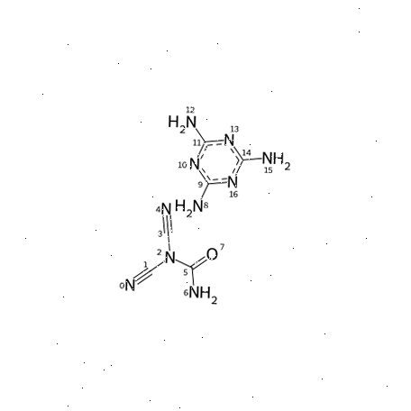 N#CN(C#N)C(N)=O.Nc1nc(N)nc(N)n1